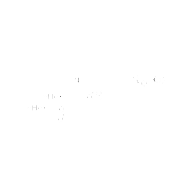 CCCCCCC(CCCCCC)CCOC(=O)CCCCCCCC(CCCCCCCC(=O)OCC12CCC(CC1)CC2)OC(=O)CCCN(C)C